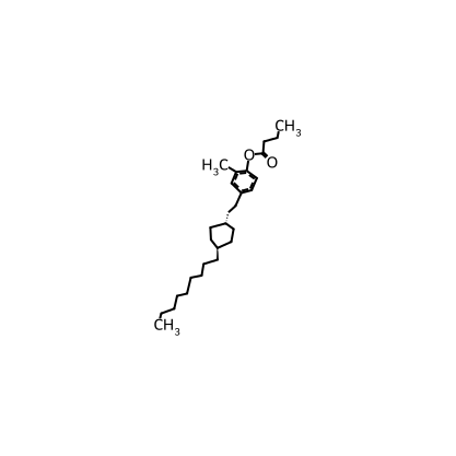 CCCCCCCCC[C@H]1CC[C@H](CCc2ccc(OC(=O)CCC)c(C)c2)CC1